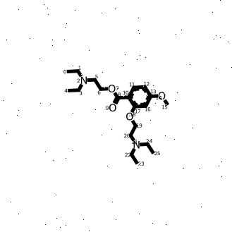 CCN(CC)CCOC(=O)c1ccc(OC)cc1OCCN(CC)CC